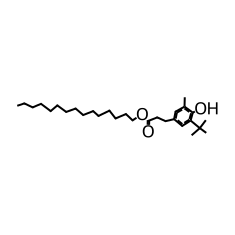 CCCCCCCCCCCCCCCOC(=O)CCc1cc(C)c(O)c(C(C)(C)C)c1